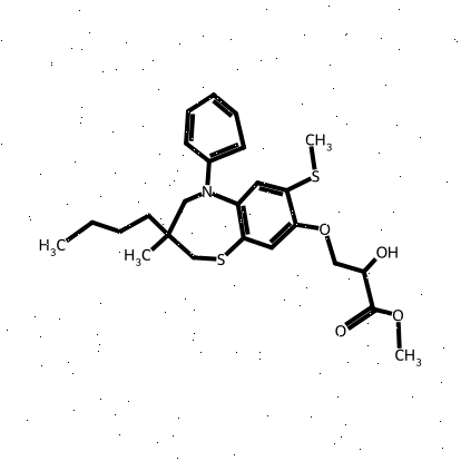 CCCCC1(C)CSc2cc(OCC(O)C(=O)OC)c(SC)cc2N(c2ccccc2)C1